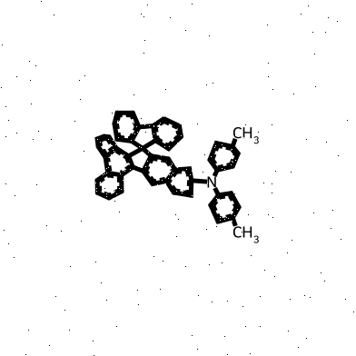 Cc1ccc(N(c2ccc(C)cc2)c2ccc3cc4c(cc3c2)C2(c3ccccc3-c3ccccc32)c2c-4c3ccccc3c3ccccc23)cc1